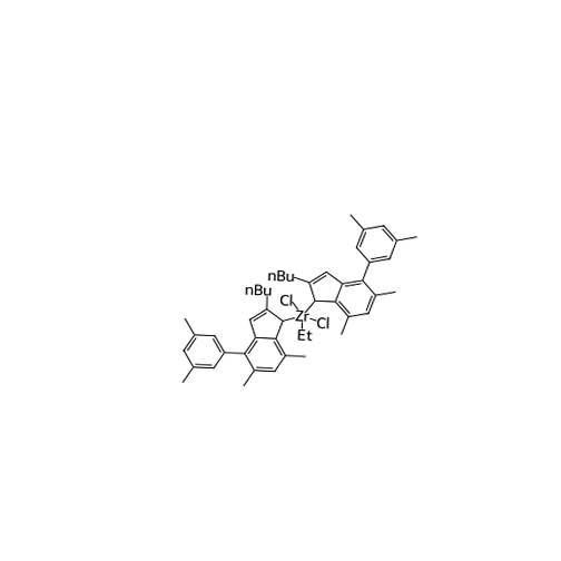 CCCCC1=Cc2c(-c3cc(C)cc(C)c3)c(C)cc(C)c2[CH]1[Zr]([Cl])([Cl])([CH2]C)[CH]1C(CCCC)=Cc2c(-c3cc(C)cc(C)c3)c(C)cc(C)c21